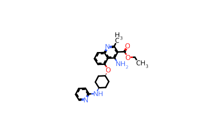 CCOC(=O)c1c(C)nc2cccc(O[C@H]3CC[C@H](Nc4ccccn4)CC3)c2c1N